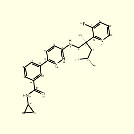 C[C@H](F)C[C@@](C)(CNc1ccc(-c2cccc(C(=O)NC3CC3)c2)nn1)c1ncccc1F